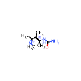 C/N=C(C)\C(C)=C(/C)NC(N)=O